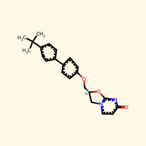 CC(C)(C)c1ccc(-c2ccc(OC[C@@H]3Cn4ccc(=O)nc4O3)cc2)cc1